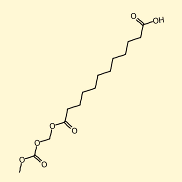 COC(=O)OCOC(=O)CCCCCCCCCCC(=O)O